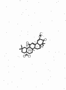 [C-]#[N+]C1=C[C@]2(C)C3=CC(=O)[C@@H]4[C@@H]5CC(C)(C)CC[C@]5(C(=O)Cl)CC[C@@]4(C)[C@]3(C)CC[C@H]2C(C)(C)C1=O